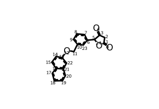 O=C1CC(=O)C(c2cccc(COc3ccc4ccccc4c3)c2)O1